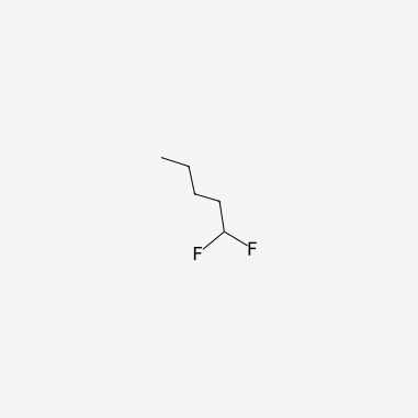 CCCCC(F)F